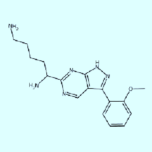 COc1ccccc1-c1n[nH]c2nc(C(N)CCCCN)ncc12